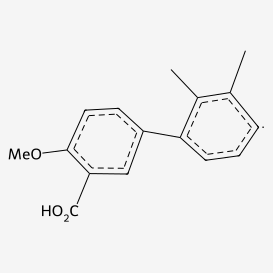 COc1ccc(-c2cc[c]c(C)c2C)cc1C(=O)O